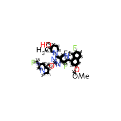 CCc1c(F)ccc2cc(OCOC)cc(-c3ncc4c(N5CCC[C@@](C)(O)C5)nc(OC[C@@]56CCCN5C/C(=C\F)C6)nc4c3F)c12